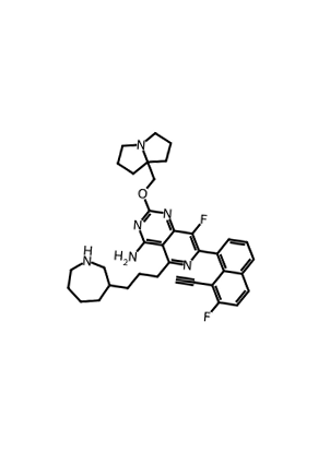 C#Cc1c(F)ccc2cccc(-c3nc(CCCC4CCCCNC4)c4c(N)nc(OCC56CCCN5CCC6)nc4c3F)c12